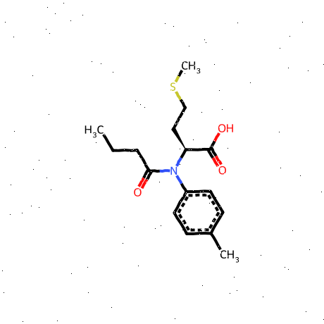 CCCC(=O)N(c1ccc(C)cc1)[C@@H](CCSC)C(=O)O